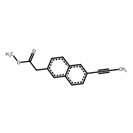 CC#Cc1ccc2cc(CC(=O)OC)ccc2c1